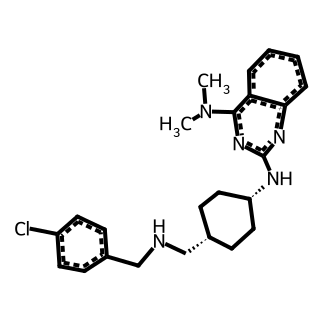 CN(C)c1nc(N[C@H]2CC[C@@H](CNCc3ccc(Cl)cc3)CC2)nc2ccccc12